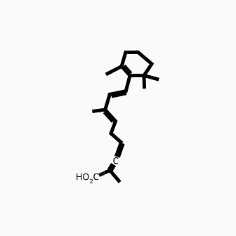 CC(=C=CCC=C(C)C=CC1=C(C)CCCC1(C)C)C(=O)O